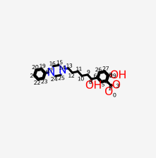 COC(=O)c1cc(C(O)CCCCCN2CCN(c3ccccc3)CC2)ccc1O